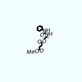 COC(=O)/C=C/C(=O)OC[C@@H](C)NC(=O)Nc1ccccc1